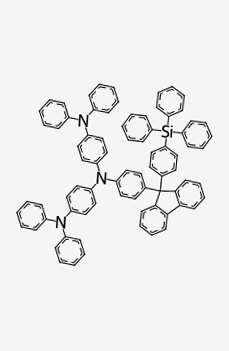 c1ccc(N(c2ccccc2)c2ccc(N(c3ccc(N(c4ccccc4)c4ccccc4)cc3)c3ccc(C4(c5ccc([Si](c6ccccc6)(c6ccccc6)c6ccccc6)cc5)c5ccccc5-c5ccccc54)cc3)cc2)cc1